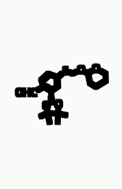 CC1(C)OB(c2cc(SCOC3CCCCO3)ccc2C=O)OC1(C)C